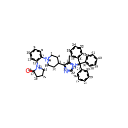 Cc1c(C2CCN(c3ccccc3N3CCCC3=O)CC2)ncn1C(c1ccccc1)(c1ccccc1)c1ccccc1